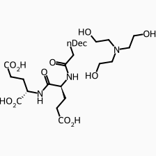 CCCCCCCCCCCC(=O)N[C@@H](CCC(=O)O)C(=O)N[C@@H](CCC(=O)O)C(=O)O.OCCN(CCO)CCO